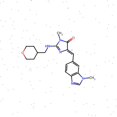 CN1C(=O)/C(=C/c2ccc3ncn(C)c3c2)N=C1NCC1CCOCC1